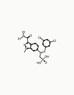 CCN(CC)C(=O)c1nn(C)c2cc(N(CP(=O)(O)O)Sc3cc(Cl)cc(Cl)c3)ccc12